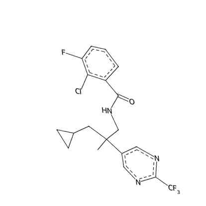 CC(CNC(=O)c1cccc(F)c1Cl)(CC1CC1)c1cnc(C(F)(F)F)nc1